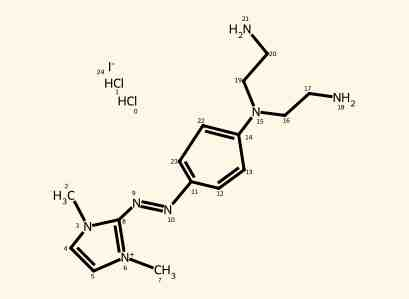 Cl.Cl.Cn1cc[n+](C)c1/N=N/c1ccc(N(CCN)CCN)cc1.[I-]